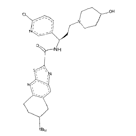 CC(C)(C)C1CCc2nc3sc(C(=O)N[C@H](CCN4CCC(O)CC4)c4ccc(Cl)nc4)nc3cc2C1